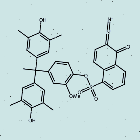 COc1cc(C(C)(c2cc(C)c(O)c(C)c2)c2cc(C)c(O)c(C)c2)ccc1OS(=O)(=O)c1cccc2c1C=CC(=[N+]=[N-])C2=O